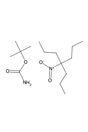 CC(C)(C)OC(N)=O.CCCC(CCC)(CCC)[N+](=O)[O-]